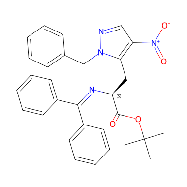 CC(C)(C)OC(=O)[C@H](Cc1c([N+](=O)[O-])cnn1Cc1ccccc1)N=C(c1ccccc1)c1ccccc1